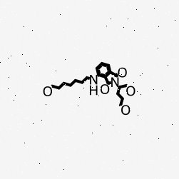 O=CCCCCCCNc1cccc2c1C(=O)N(C(C=O)CCC=O)C2=O